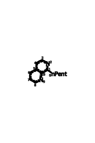 CCCCCc1nccc2cccnc12